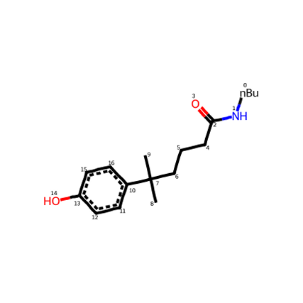 CCCCNC(=O)CCCC(C)(C)c1ccc(O)cc1